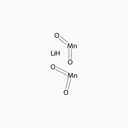 [LiH].[O]=[Mn]=[O].[O]=[Mn]=[O]